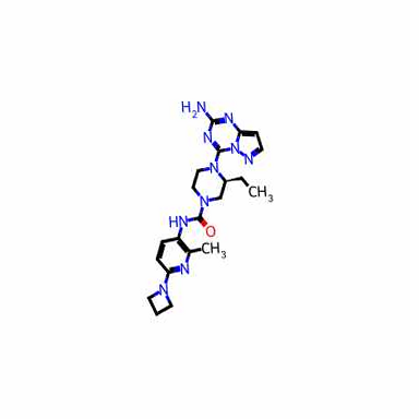 CC[C@H]1CN(C(=O)Nc2ccc(N3CCC3)nc2C)CCN1c1nc(N)nc2ccnn12